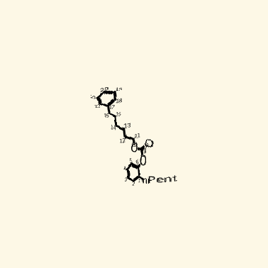 CCCCCc1ccccc1OC(=O)OCCCCCCc1ccccc1